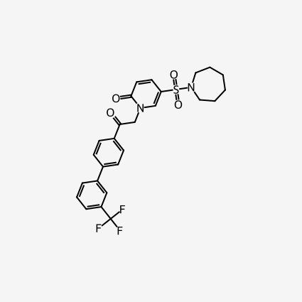 O=C(Cn1cc(S(=O)(=O)N2CCCCCC2)ccc1=O)c1ccc(-c2cccc(C(F)(F)F)c2)cc1